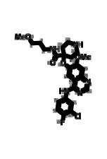 COCCCNC(=O)C1(Oc2cc3c(Nc4ccc(F)c(Cl)c4)ncnc3cc2OC)CCNCC1